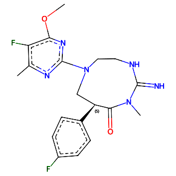 COc1nc(N2CCNC(=N)N(C)C(=O)[C@@H](c3ccc(F)cc3)C2)nc(C)c1F